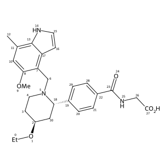 CCO[C@H]1CCN(Cc2c(OC)cc(C)c3[nH]ccc23)[C@H](c2ccc(C(=O)NCC(=O)O)cc2)C1